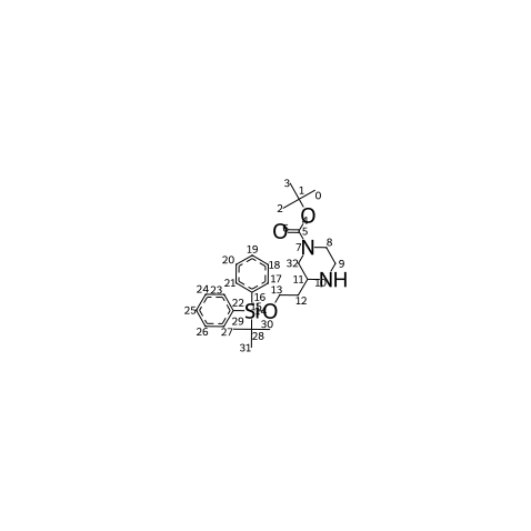 CC(C)(C)OC(=O)N1CCNC(CCO[Si](c2ccccc2)(c2ccccc2)C(C)(C)C)C1